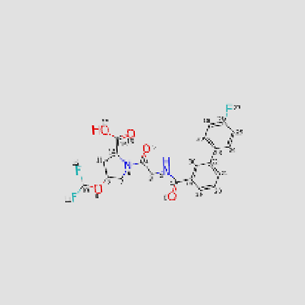 O=C(NCC(=O)N1C[C@H](OC(F)F)C[C@H]1C(=O)O)c1cccc(-c2ccc(F)cc2)c1